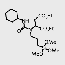 CCOC(=O)CC(C(=O)OCC)N(CCC[Si](OC)(OC)OC)C(=O)NC1CCCCC1